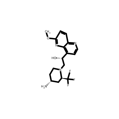 COc1ccc2nccc([C@@H](O)CN3CC[C@@H](N)C[C@@H]3C(F)(F)F)c2n1